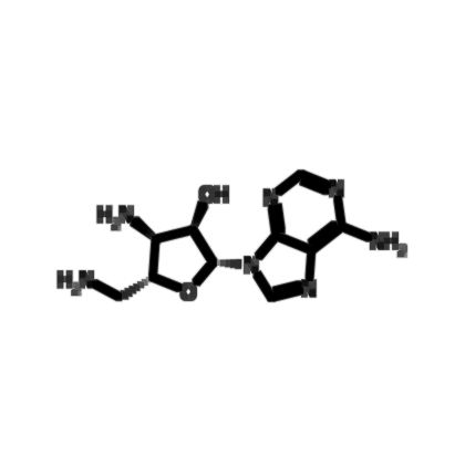 NC[C@H]1O[C@@H](n2cnc3c(N)ncnc32)[C@H](O)[C@@H]1N